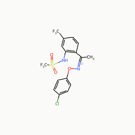 C/C(=N/Oc1ccc(Cl)cc1)c1ccc(C(F)(F)F)cc1NS(=O)(=O)C(F)(F)F